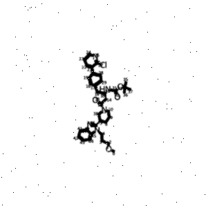 COCCCn1c([C@@H]2CCCN(C(=O)C[C@@H](Cc3ccc(-c4cccnc4Cl)cc3)NC(=O)OC(C)(C)C)C2)nc2ccccc21